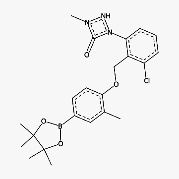 Cc1cc(B2OC(C)(C)C(C)(C)O2)ccc1OCc1c(Cl)cccc1-n1[nH]n(C)c1=O